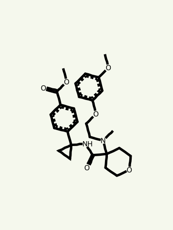 COC(=O)c1ccc(C2(NC(=O)C3(N(C)CCOc4cccc(OC)c4)CCOCC3)CC2)cc1